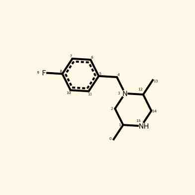 CC1CN(Cc2ccc(F)cc2)C(C)CN1